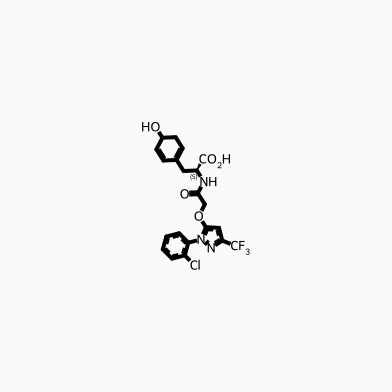 O=C(COc1cc(C(F)(F)F)nn1-c1ccccc1Cl)N[C@@H](CC1=CCC(O)C=C1)C(=O)O